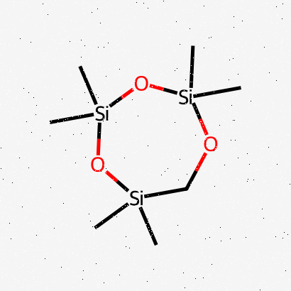 C[Si]1(C)CO[Si](C)(C)O[Si](C)(C)O1